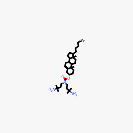 CC(C)CCCCC1CCC2C3CC=C4C[C@@H](OC(=O)N(CCC(C)(C)N)CCC(C)(C)N)CCC4(C)C3CCC12C